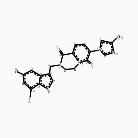 Cc1cn(-c2ccc3n(c2=O)CCN(Cc2coc4c(F)cc(Cl)cc24)C3=O)cn1